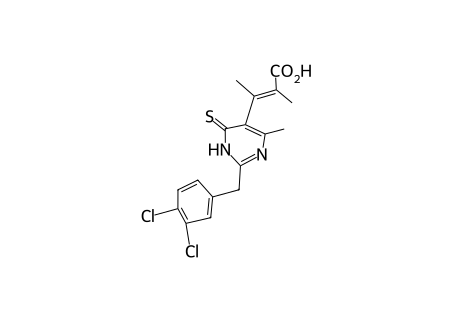 C/C(C(=O)O)=C(/C)c1c(C)nc(Cc2ccc(Cl)c(Cl)c2)[nH]c1=S